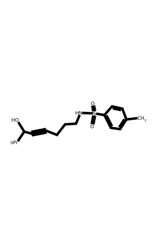 CCCC(O)C#CCCCNS(=O)(=O)c1ccc(C)cc1